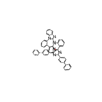 c1ccc(-c2ccc(-c3nc(-c4ccc(-c5ccccc5)cc4)nc(-c4ccccc4N4c5ccccc5-c5ccccc5-n5c4nc4ccccc45)n3)cc2)cc1